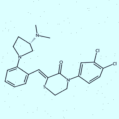 CN(C)[C@H]1CCN(c2ccccc2C=C2SCCN(c3ccc(Cl)c(Cl)c3)C2=O)C1